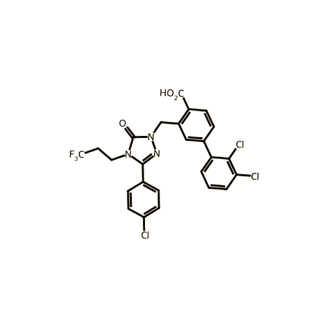 O=C(O)c1ccc(-c2cccc(Cl)c2Cl)cc1Cn1nc(-c2ccc(Cl)cc2)n(CCC(F)(F)F)c1=O